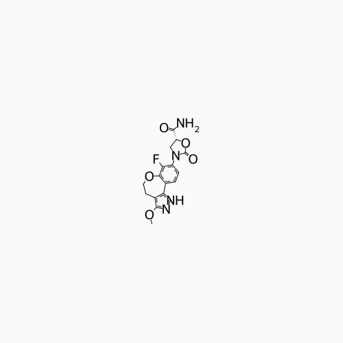 COc1n[nH]c2c1CCOc1c-2ccc(N2C[C@H](C(N)=O)OC2=O)c1F